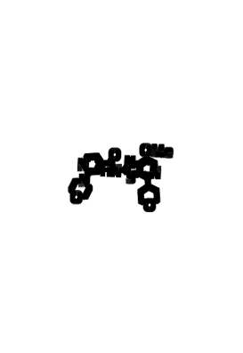 COc1cnc(C2CCOCC2)c2sc(NC(=O)c3ccnc(N4CCOCC4)c3)nc12